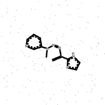 C=C(/N=N\N(C)c1cccnc1)c1ncc[nH]1